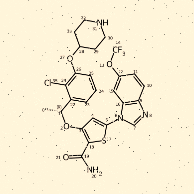 C[C@@H](Oc1cc(-n2cnc3ccc(OC(F)(F)F)cc32)sc1C(N)=O)c1cccc(OC2CCNCC2)c1Cl